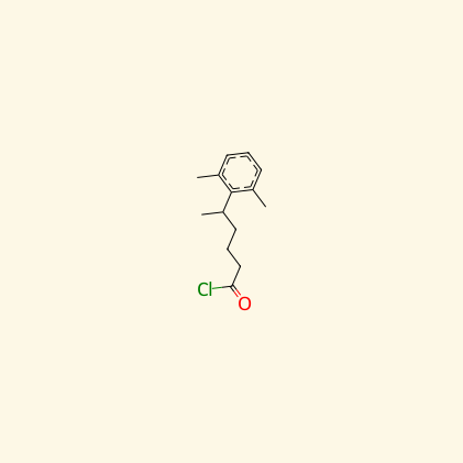 Cc1cccc(C)c1C(C)CCCC(=O)Cl